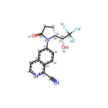 N#Cc1nccc2cc(N3C(=O)CC[C@@H]3[C@@H](O)C(F)(F)F)ccc12